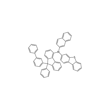 c1ccc(-c2cccc(C3(c4ccccc4)c4ccccc4-c4c(N(c5ccc6ccccc6c5)c5ccc6c(c5)sc5ccccc56)cccc43)c2)cc1